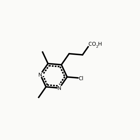 Cc1nc(C)c(CCC(=O)O)c(Cl)n1